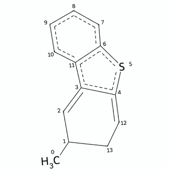 CC1C=c2c(sc3ccccc23)=CC1